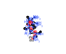 CC[C@H](C)[C@H](N)C(=O)N[C@@H](CC(C)C)C(=O)N1CCC[C@H]1C(=O)N[C@@H](Cc1c[nH]c2ccccc12)C(=O)N[C@@H](CCCCN)C(=O)N[C@@H](Cc1c[nH]c2ccccc12)C(=O)N1CCC[C@H]1C(=O)N[C@@H](Cc1c[nH]c2ccccc12)C(=O)N[C@@H](Cc1c[nH]c2ccccc12)C(=O)N1CCC[C@H]1C(=O)N[C@@H](Cc1c[nH]c2ccccc12)C(=O)N[C@@H](CCCNC(=N)N)C(=O)N[C@@H](CCCNC(=N)N)C(N)=O